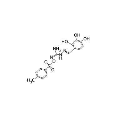 Cc1ccc(S(=O)(=O)ON=C(N)NN=Cc2ccc(O)c(O)c2O)cc1